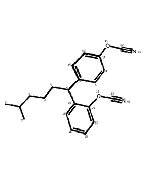 CC(C)CCCC(c1ccc(OC#N)cc1)c1ccccc1OC#N